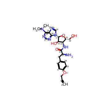 C#CCOc1ccc(CC(N)C(=O)N[C@H]2[C@@H](O)[C@H](n3cnc4c(N(C)C)ncnc43)O[C@@H]2CO)cc1